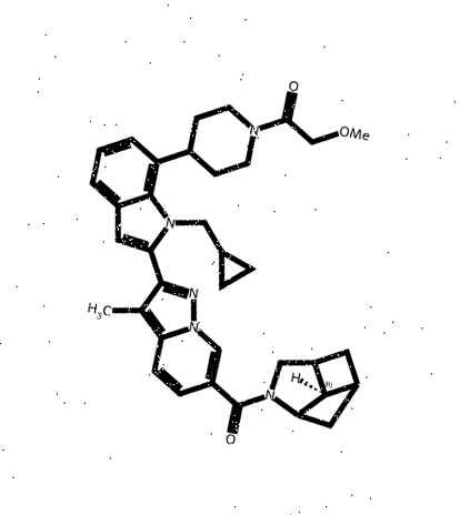 COCC(=O)N1CCC(c2cccc3cc(-c4nn5cc(C(=O)N6CC7CC8CC6[C@H]87)ccc5c4C)n(CC4CC4)c23)CC1